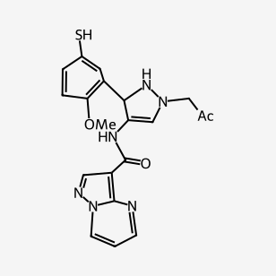 COc1ccc(S)cc1C1NN(CC(C)=O)C=C1NC(=O)c1cnn2cccnc12